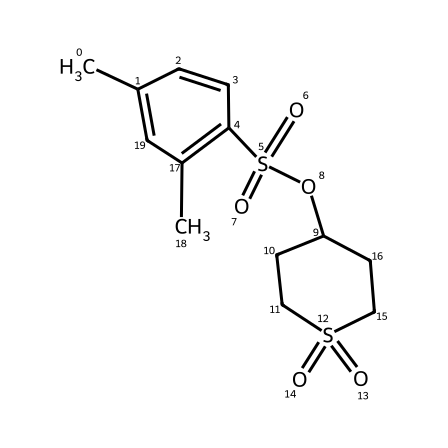 Cc1ccc(S(=O)(=O)OC2CCS(=O)(=O)CC2)c(C)c1